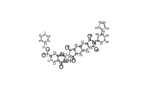 O=C(OCc1ccccc1)c1ccc2c(=O)[nH]c(C3C(=O)c4cc5cc6c(cc5cc4C3=O)C(=O)N(c3cccc(C4=CCC=C4)c3)C6=O)nc2c1